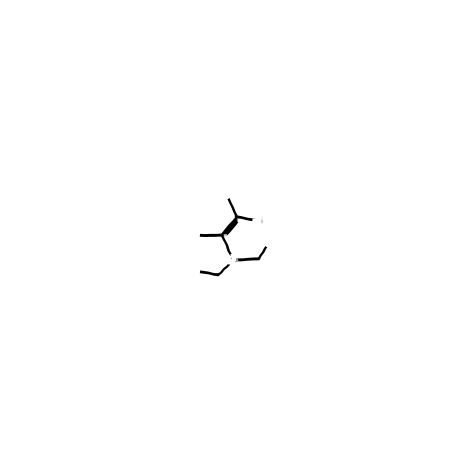 CCN(CC)C(C)=C(C)[SiH3]